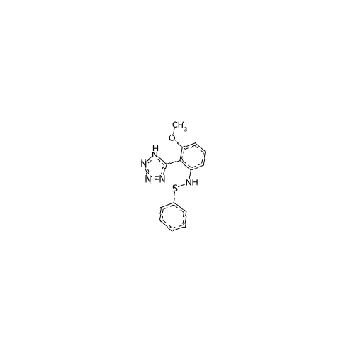 COc1cccc(NSc2ccccc2)c1-c1nnn[nH]1